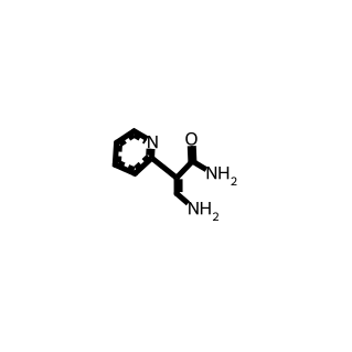 NC=C(C(N)=O)c1ccccn1